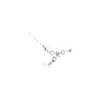 CCCCCCCCCCCCNC(=O)/C=C/c1ccc(-c2[nH]c(-c3ccc(/C=C/C(=O)O)cc3)nc2-c2ccc(OCC(=O)O)cc2)cc1